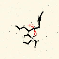 CC#CCC(O)(CCCC)O[Si](CC)(CC)CC